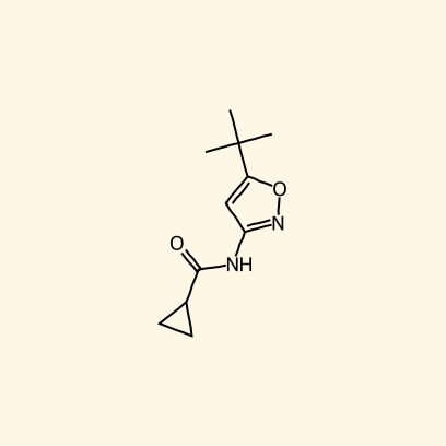 CC(C)(C)c1cc(NC(=O)C2CC2)no1